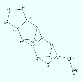 CC(C)OC1CC2CC1C1C3CC(C4CCCC43)C21